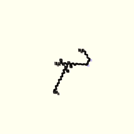 CCCCC/C=C\C/C=C\CCCCCCCC(=O)OC(COC(C)=O)COC(=O)CCCCCCCCCCCCCC